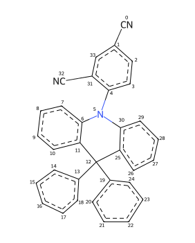 N#Cc1ccc(N2c3ccccc3C(c3ccccc3)(c3ccccc3)c3ccccc32)c(C#N)c1